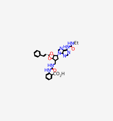 CCNC(=O)Nc1ncnc2c1ncn2C1CC(CNC(=O)Nc2ccccc2C(=O)O)C2O[C@H](/C=C/c3ccccc3)OC21